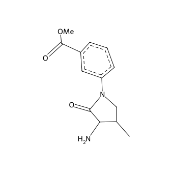 COC(=O)c1cccc(N2CC(C)C(N)C2=O)c1